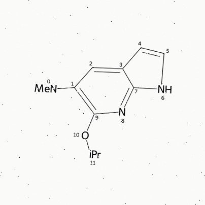 CNc1cc2cc[nH]c2nc1OC(C)C